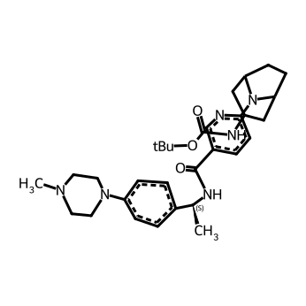 C[C@H](NC(=O)c1ccc(N2C3CCC2CC(NC(=O)OC(C)(C)C)C3)nc1)c1ccc(N2CCN(C)CC2)cc1